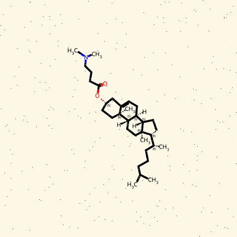 CC(C)CCC[C@@H](C)[C@H]1CC[C@H]2[C@@H]3CC=C4C[C@@H](OC(=O)CCCN(C)C)CC[C@]4(C)[C@H]3CC[C@]12C